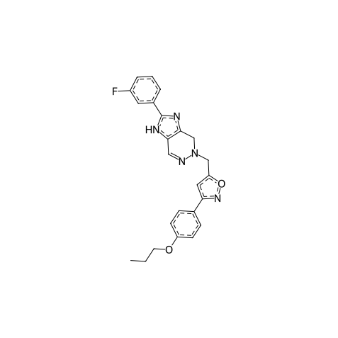 CCCOc1ccc(-c2cc(CN3Cc4nc(-c5cccc(F)c5)[nH]c4C=N3)on2)cc1